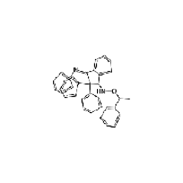 CC(ONC1c2ccccc2/C(=N/c2ccccc2)C1(c1ccccc1)c1ccccc1)c1ccccc1